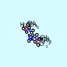 C[Si](C)(C)c1ccc(N(c2cc3c(c4ccccc24)-c2c(cc(N(c4ccc([Si](C)(C)C)cc4)c4cccc5c4oc4c(C(F)(F)F)cccc45)c4ccccc24)C32c3ccccc3-n3c4ccccc4c4cccc2c43)c2cccc3c2oc2c(C(F)(F)F)cccc23)cc1